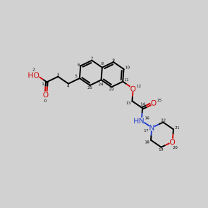 O=C(O)CCc1ccc2ccc(OCC(=O)NN3CCOCC3)cc2c1